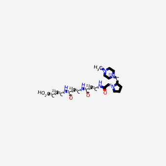 C[15N]1CC[15N]([13CH2]C2CCC[15N]2CC(=O)N[13CH2][13CH2][13C](=O)N[13CH2][13CH2][13C](=O)N[13CH2][13CH2][13CH2][13C](=O)O)CC1